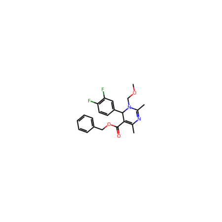 COCN1C(C)=NC(C)=C(C(=O)OCc2ccccc2)C1c1ccc(F)c(F)c1